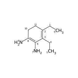 CCC1=C(CC)C(N)=C(N)CC1